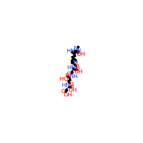 Cc1nc(O)c2c(CCc3ccc(C(=O)N[C@@H](CCC(=O)N[C@@H](CCC(=O)N[C@@H](CCC(=O)O)C(=O)O)C(=O)O)C(=O)O)nc3)c[nH]c2n1